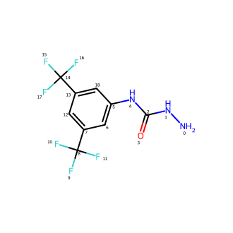 NNC(=O)Nc1cc(C(F)(F)F)cc(C(F)(F)F)c1